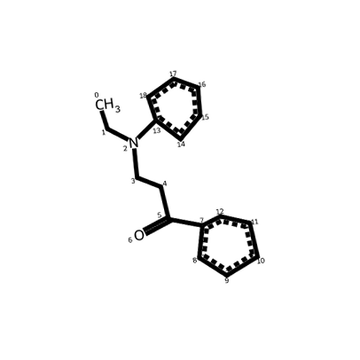 CCN(CCC(=O)c1ccccc1)c1ccccc1